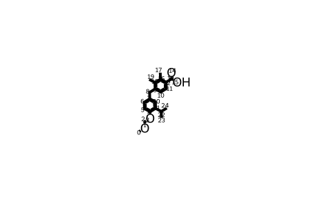 COCOc1ccc(Cc2ccc(C(=O)O)c(C)c2C)cc1C(C)C